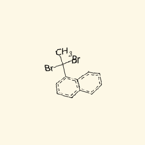 CC(Br)(Br)c1cccc2ccccc12